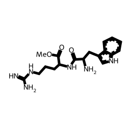 COC(=O)C(CCCNC(=N)N)NC(=O)C(N)Cc1c[nH]c2ccccc12